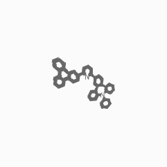 c1ccc(N2c3ccccc3-c3ccc(-c4cccc(-c5ccc6c7ccccc7c7ccccc7c6c5)n4)cc3-c3ccccc32)cc1